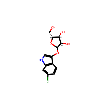 OC[C@H]1OC(Oc2c[nH]c3cc(Cl)ccc23)[C@H](O)[C@@H]1O